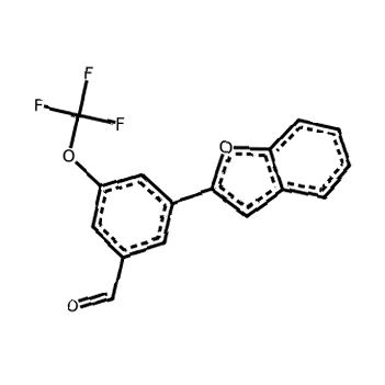 O=Cc1cc(OC(F)(F)F)cc(-c2cc3ccccc3o2)c1